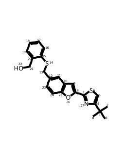 CC(C)(C)c1csc(-c2cc3cc(CSc4ccccc4CO)ccc3o2)n1